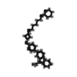 Cn1c2ccncc2c2ccc(-c3ccc(O[C@H]4C[C@H](OCCCCCOC5CCCCO5)C4)nc3)cc21